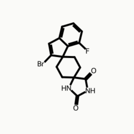 O=C1NC(=O)C2(CCC3(CC2)C(Br)=Cc2cccc(F)c23)N1